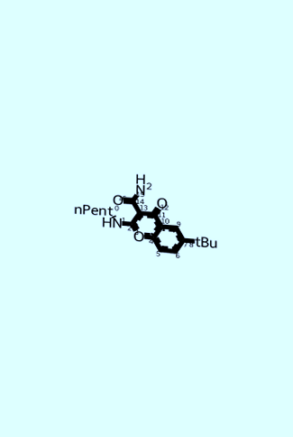 CCCCCNc1oc2ccc(C(C)(C)C)cc2c(=O)c1C(N)=O